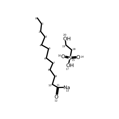 CCCCCCCCCCC[C](=O)[Na].O=S(=O)(O)CCO